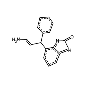 NC=CC(c1ccccc1)c1cccc2c1=NC(=O)N=2